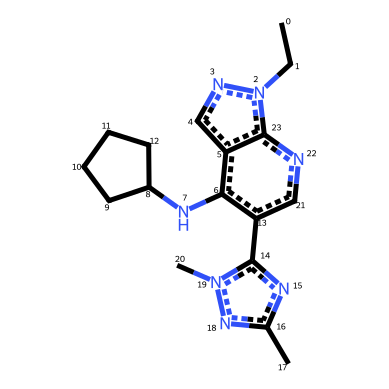 CCn1ncc2c(NC3CCCC3)c(-c3nc(C)nn3C)cnc21